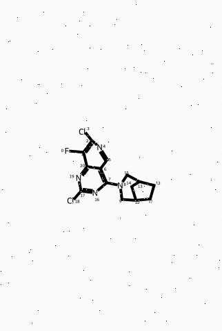 Fc1c(Cl)ncc2c(N3CC4CCC(C4)C3)nc(Cl)nc12